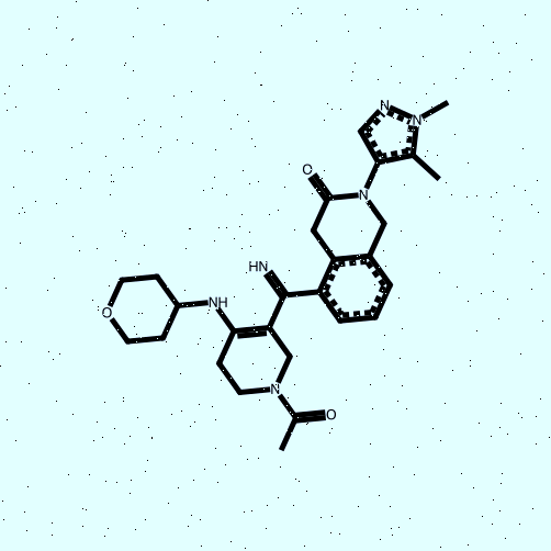 CC(=O)N1CCC(NC2CCOCC2)=C(C(=N)c2cccc3c2CC(=O)N(c2cnn(C)c2C)C3)C1